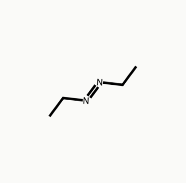 CCN=NCC